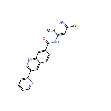 CN/C(=C\C(=N)C(F)(F)F)NC(=O)c1ccc2cc(-c3ccccn3)cnc2c1